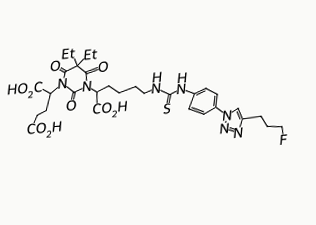 CCC1(CC)C(=O)N(C(CCCCNC(=S)Nc2ccc(-n3cc(CCCF)nn3)cc2)C(=O)O)C(=O)N(C(CCC(=O)O)C(=O)O)C1=O